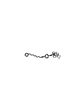 CS(C)(C)C#Cc1ccc(C#CCCCCCCCCc2ccccc2)cc1